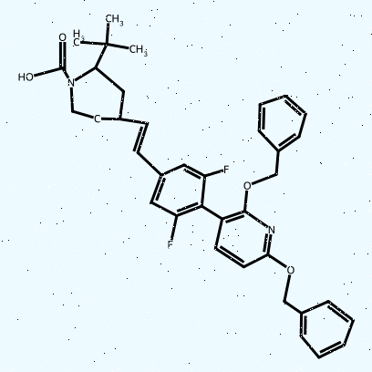 CC(C)(C)C1CC(C=Cc2cc(F)c(-c3ccc(OCc4ccccc4)nc3OCc3ccccc3)c(F)c2)CCN1C(=O)O